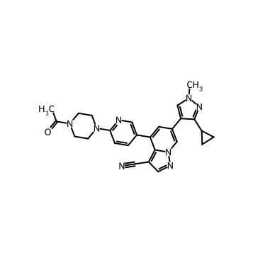 CC(=O)N1CCN(c2ccc(-c3cc(-c4cn(C)nc4C4CC4)cn4ncc(C#N)c34)cn2)CC1